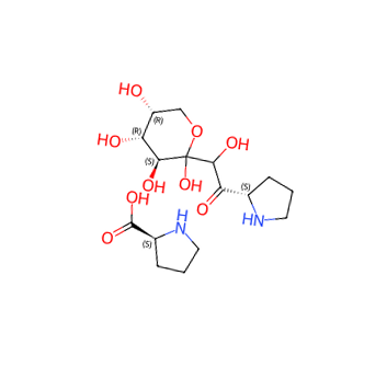 O=C(C(O)C1(O)OC[C@@H](O)[C@@H](O)[C@@H]1O)[C@@H]1CCCN1.O=C(O)[C@@H]1CCCN1